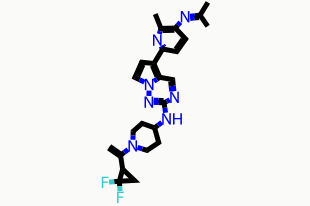 C=C(C1CC1(F)F)N1CCC(Nc2ncc3c(-c4ccc(N=C(C)C)c(C)n4)ccn3n2)CC1